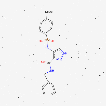 CC(=O)Nc1ccc(S(=O)(=O)Nc2c[nH]nc2C(=O)NCc2ccccc2)cc1